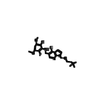 COc1cc(OC)c(Cl)c(NCc2cnc3c(ccn3COCC[Si](C)(C)C)c2Cl)c1F